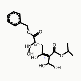 CC(C)OC(=O)/C(=C(/O)C[C@H](NO)C(=O)OCc1ccccc1)C(O)O